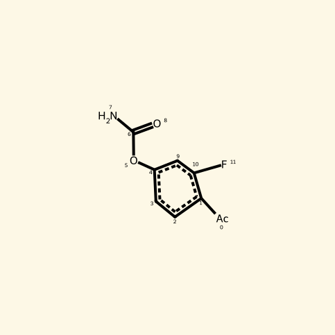 CC(=O)c1ccc(OC(N)=O)cc1F